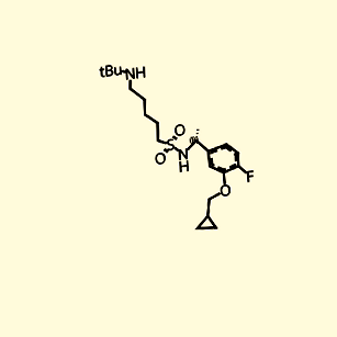 C[C@@H](NS(=O)(=O)CCCCCNC(C)(C)C)c1ccc(F)c(OCC2CC2)c1